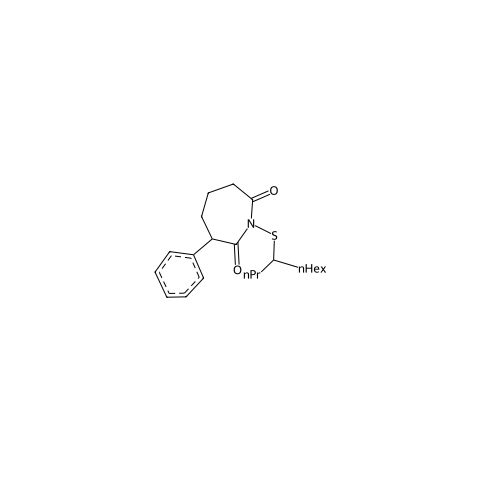 CCCCCCC(CCC)SN1C(=O)CCCC(c2ccccc2)C1=O